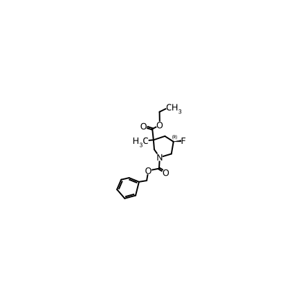 CCOC(=O)C1(C)C[C@@H](F)CN(C(=O)OCc2ccccc2)C1